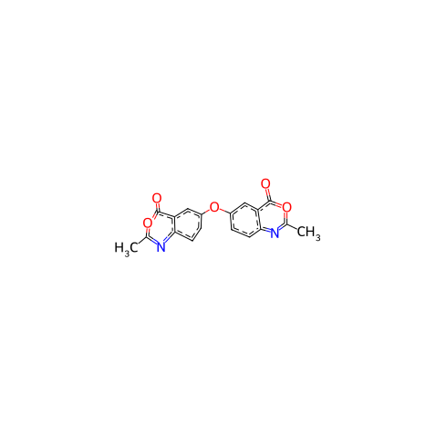 Cc1nc2ccc(Oc3ccc4nc(C)oc(=O)c4c3)cc2c(=O)o1